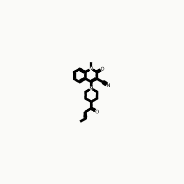 CC=CC(=O)C1CCN(c2c(C#N)c(=O)n(C)c3ccccc23)CC1